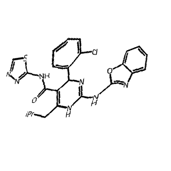 CC(C)CC1=C(C(=O)Nc2nncs2)C(c2ccccc2Cl)N=C(Nc2nc3ccccc3o2)N1